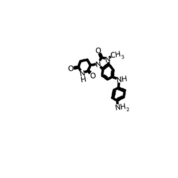 Cn1c(=O)n(C2CCC(=O)NC2=O)c2ccc(Nc3ccc(N)cc3)cc21